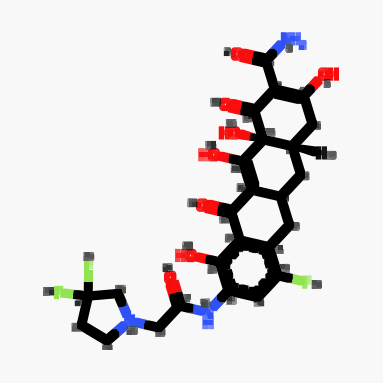 NC(=O)C1=C(O)C[C@@H]2CC3Cc4c(F)cc(NC(=O)CN5CCC(F)(F)C5)c(O)c4C(=O)C3=C(O)[C@]2(O)C1=O